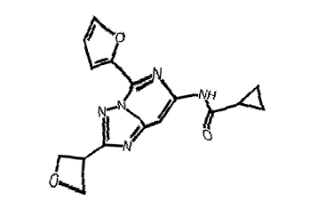 O=C(Nc1cc2nc(C3COC3)nn2c(-c2ccco2)n1)C1CC1